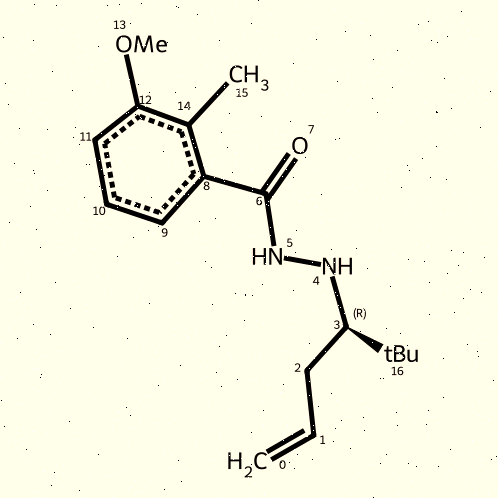 C=CC[C@@H](NNC(=O)c1cccc(OC)c1C)C(C)(C)C